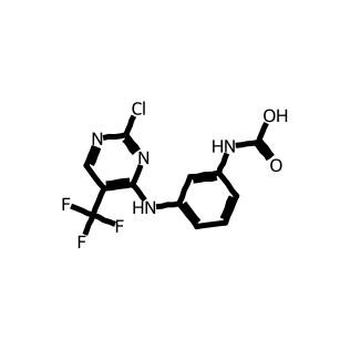 O=C(O)Nc1cccc(Nc2nc(Cl)ncc2C(F)(F)F)c1